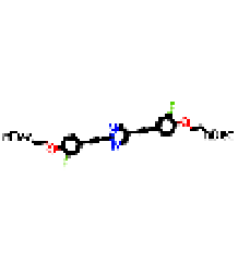 CCCCCCCCCCCCOc1ccc(C#Cc2cnc(C#Cc3ccc(OCCCCCCCCCCCC)c(F)c3)nc2)cc1F